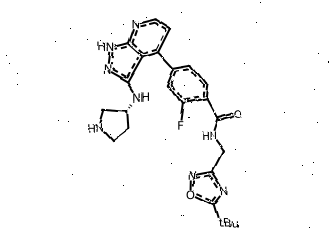 CC(C)(C)c1nc(CNC(=O)c2ccc(-c3ccnc4[nH]nc(N[C@@H]5CCNC5)c34)cc2F)no1